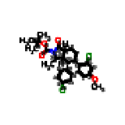 COc1ccc([C@@H]2CC[C@@H]3C(=O)N(C(=O)OC(C)(C)C)[C@H](C)[C@H]3[C@H]2c2ccc(Cl)cc2)c(Cl)c1